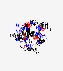 Cn1cc(CC(=O)[C@](N)(CCCCNC(=O)OC(C)(C)C)C(=O)Nc2ccc(C(c3ccc(NC(=O)[C@@](N)(CCCCNC(=O)OC(C)(C)C)C(=O)Cc4cn(C)c5ccccc45)cc3)c3ccc(NC(=O)[C@@](N)(CCCCNC(=O)OC(C)(C)C)C(=O)Cc4cn(C)c5ccccc45)cc3)cc2)c2ccccc21